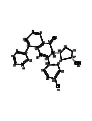 O=c1c2ccnc(-c3cccnc3)c2nc(-c2ccc(Cl)cc2)n1[C@@H]1CC[C@H](O)C1